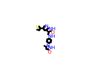 Cc1cc(=O)[nH]n1-c1ccc(N/C=C2\C(=O)Nc3ncc(-c4ccsc4)cc32)cc1